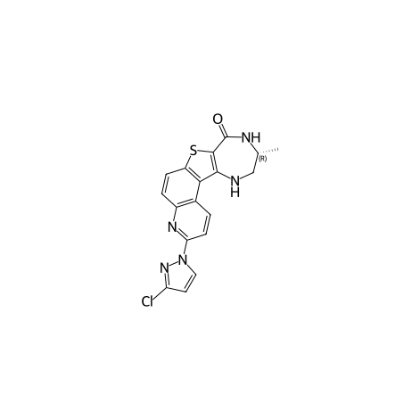 C[C@@H]1CNc2c(sc3ccc4nc(-n5ccc(Cl)n5)ccc4c23)C(=O)N1